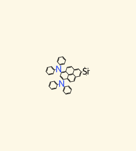 C[Si](C)(C)c1cc2ccc3c(N(c4ccccc4)c4ccccc4)cc(N(c4ccccc4)c4ccccc4)c4ccc(c1)c2c34